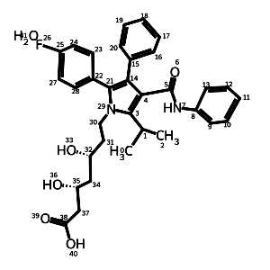 CC(C)c1c(C(=O)Nc2ccccc2)c(-c2ccccc2)c(-c2ccc(F)cc2)n1CC[C@@H](O)C[C@@H](O)CC(=O)O.O